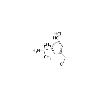 CC(C)(N)c1ccnc(CCl)c1.Cl.Cl